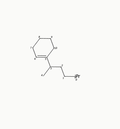 CC(C)CCC(C)C1=CCCCC1